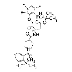 CC(C)(C)OC(=O)C[C@H](NC(=O)C1CCN(C(=O)c2ccccc2C(C)(C)C)CC1)C(=O)COc1c(F)c(F)cc(F)c1F